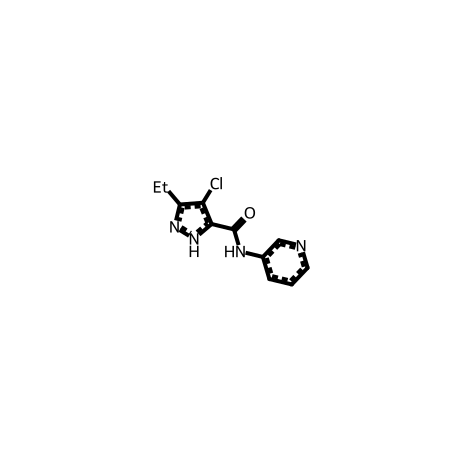 CCc1n[nH]c(C(=O)Nc2cccnc2)c1Cl